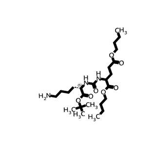 CCCCOC(=O)CCC(NC(=O)N[C@@H](CCCCN)C(=O)OC(C)(C)C)C(=O)OCCCC